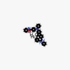 CC1(C)c2cc(-c3nc4ccccc4nc3-c3ccccc3)ccc2-c2ccc(N(c3ccccc3)c3ccc(-c4nc5ccccc5o4)cc3)cc21